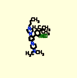 CCCCN1CCN(c2ccc(N3CCC(N(C)C)CC3)cc2C2CCC(C(C)(C)C)CC2)CC1.Cl.Cl